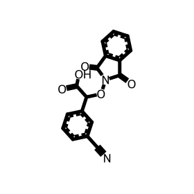 N#Cc1cccc(C(ON2C(=O)c3ccccc3C2=O)C(=O)O)c1